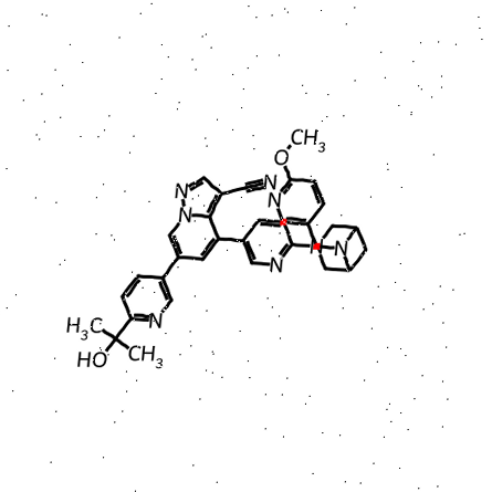 COc1ccc(CN2C3CC2CN(c2ccc(-c4cc(-c5ccc(C(C)(C)O)nc5)cn5ncc(C#N)c45)cn2)C3)cn1